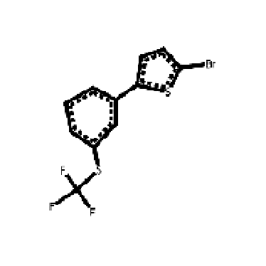 FC(F)(F)Sc1cccc(-c2ccc(Br)s2)c1